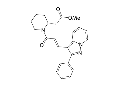 COC(=O)C[C@H]1CCCCN1C(=O)/C=C/c1c(-c2ccccc2)nn2ccccc12